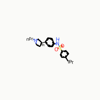 CCCN1CC[C@H](c2ccc(NS(=O)(=O)c3ccc(C(C)C)cc3)cc2)C1